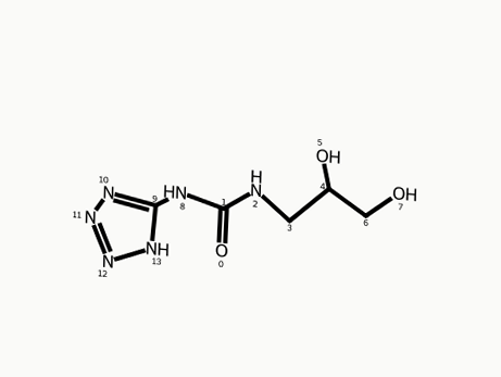 O=C(NCC(O)CO)Nc1nnn[nH]1